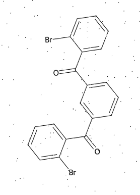 O=C(c1cccc(C(=O)c2ccccc2Br)c1)c1ccccc1Br